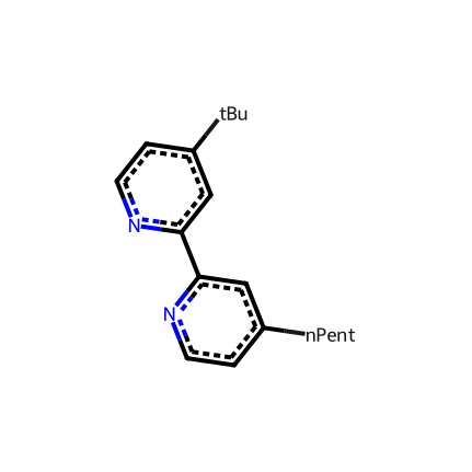 CCCCCc1ccnc(-c2cc(C(C)(C)C)ccn2)c1